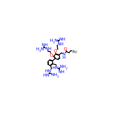 CC(=O)CCC(=O)NCc1ccc(-c2cccc(CNC(=N)N)c2CNC(=N)N)c(OCCNC(=N)N)c1OCCNC(=N)N